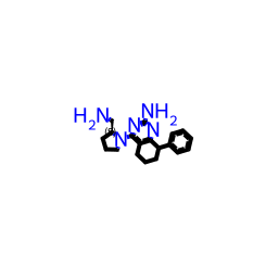 NC[C@@H]1CCCN1c1nc(N)nc2c1CCCC2c1ccccc1